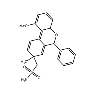 COC1=CC=CC2OC(c3ccccc3)C3=CC(C)(CS(N)(=O)=O)C=CC3=C12